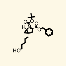 CC(C)(C)OC(=O)N1[C@H](C(=O)OCc2ccccc2)C[C@@]2(CCCCCO)C[C@@H]12